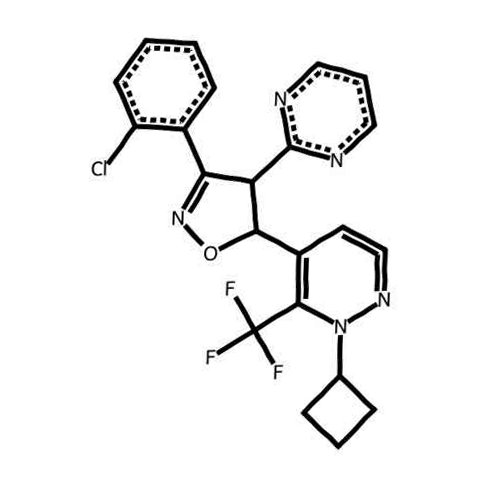 FC(F)(F)C1=C(C2ON=C(c3ccccc3Cl)C2c2ncccn2)C=C=NN1C1CCC1